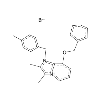 Cc1ccc(Cn2c(C)c(C)[n+]3cccc(OCc4ccccc4)c23)cc1.[Br-]